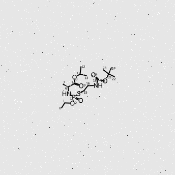 CCOP(=O)(N[C@@H](C)C(=O)OC(C)C)SCCNC(=O)OC(C)(C)C